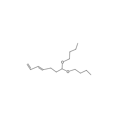 C=C/C=C/CCC(OCCCC)OCCCC